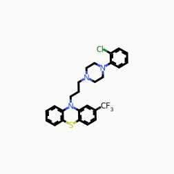 FC(F)(F)c1ccc2c(c1)N(CCCN1CCN(c3ccccc3Cl)CC1)c1ccccc1S2